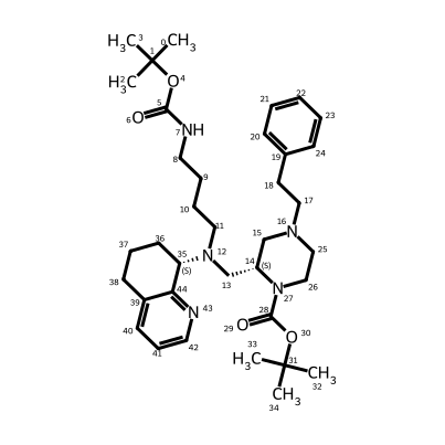 CC(C)(C)OC(=O)NCCCCN(C[C@@H]1CN(CCc2ccccc2)CCN1C(=O)OC(C)(C)C)[C@H]1CCCc2cccnc21